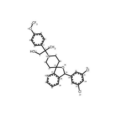 CC(CO)(c1ccc(OC(F)(F)F)cc1)N1CCC2(CC1)OC(c1cc(Cl)cc(Cl)c1)c1cccnc12